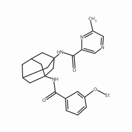 CCOc1cccc(C(=O)NC23CC4CC(C2)CC(NC(=O)c2cncc(C)n2)(C4)C3)c1